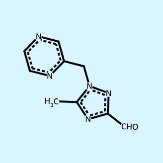 Cc1nc(C=O)nn1Cc1cnccn1